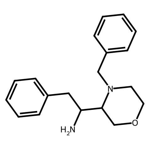 NC(Cc1ccccc1)C1COCCN1Cc1ccccc1